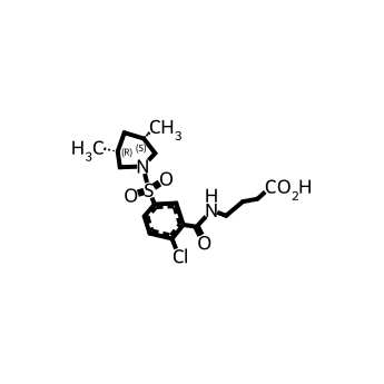 C[C@@H]1C[C@H](C)CN(S(=O)(=O)c2ccc(Cl)c(C(=O)NCCCC(=O)O)c2)C1